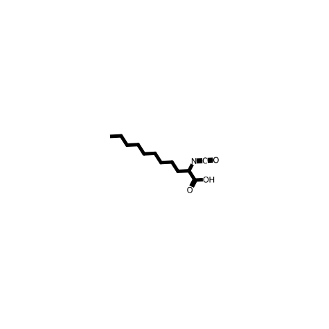 CCCCCCCCCC(N=C=O)C(=O)O